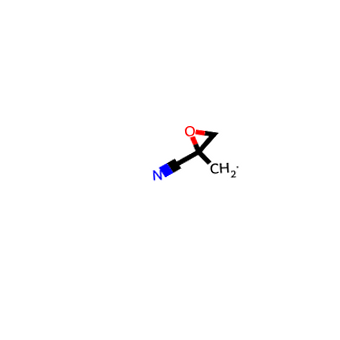 [CH2]C1(C#N)CO1